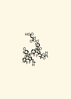 CNC(=O)OC(c1cn(S(=O)(=O)c2ccc(OC)nc2)c(-c2cccnc2F)c1F)C(C)(C)C.CNCc1cn(S(=O)(=O)c2ccc(OC)nc2)c(-c2cccnc2F)c1F.O=C(O)C=CC(=O)O